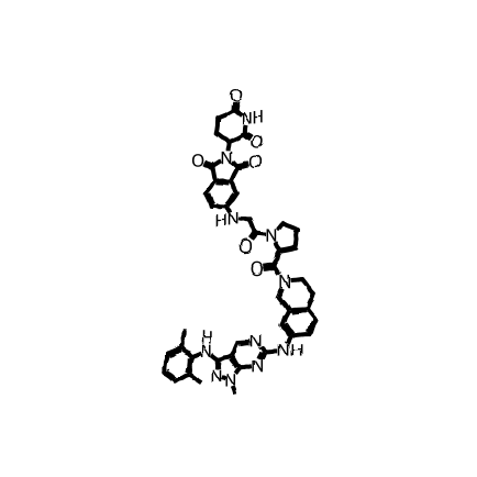 Cc1cccc(C)c1Nc1nn(C)c2nc(Nc3ccc4c(c3)CN(C(=O)C3CCCN3C(=O)CNc3ccc5c(c3)C(=O)N(C3CCC(=O)NC3=O)C5=O)CC4)ncc12